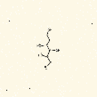 OCC[C@H](O)[C@@H](O)[C@H](O)CO